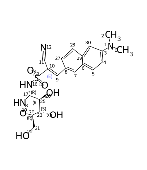 CN(C)c1ccc2cc(/C=C(\C#N)S(=O)(=O)N[C@H]3NO[C@H](CO)[C@@H](O)[C@@H]3O)ccc2c1